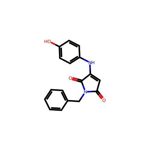 O=C1C=C(Nc2ccc(O)cc2)C(=O)N1Cc1ccccc1